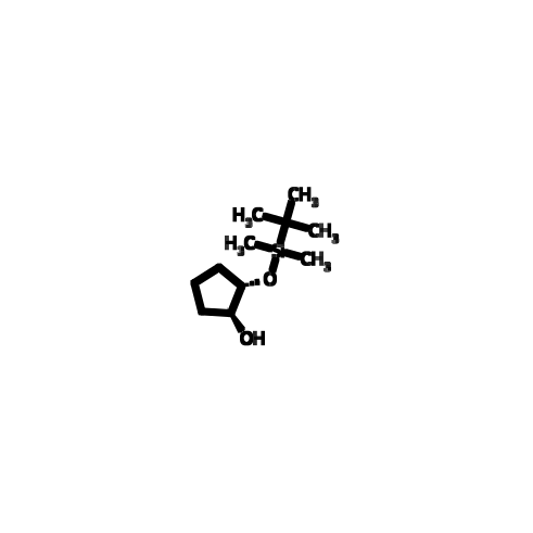 CC(C)(C)[Si](C)(C)O[C@H]1CCC[C@@H]1O